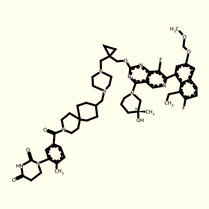 CCc1c(F)ccc2cc(OCOC)cc(-c3ncc4c(N5CCC[C@@](C)(O)C5)nc(OCC5(CN6CCN(CC7CCC8(CC7)CCN(C(=O)c7ccc(C)c(N9CCC(=O)NC9=O)c7)CC8)CC6)CC5)nc4c3F)c12